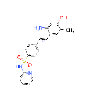 Cc1cc(/C=C/c2ccc(S(=O)(=O)Nc3ccccn3)cc2)c(N)cc1O